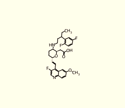 CCC(CCN[C@@H]1CC[C@@H](/C=C/c2c(F)cnc3ccc(OC)cc23)O[C@@H]1CC(=O)O)c1cc(F)ccc1F